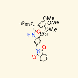 CCCCCC(CC(=O)Nc1cc(CN2C(=O)c3ccccc3C2=O)ccc1C(C)(C)C)c1cc(OC)c(OC)c(OC)c1